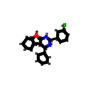 Clc1cccc(-c2nc(-c3ccccc3)c3c(n2)oc2ccccc23)c1